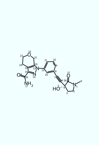 CN1CC[C@@](O)(C#Cc2cccc(-n3nc(C(N)=O)c4c3COCC4)c2)C1=O